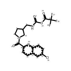 O=C(NCC1CCN(C(=O)c2ccc3cc(Cl)ccc3n2)C1)OC(=O)C(F)(F)F